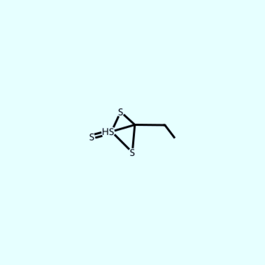 CCC12S[SH]1(=S)S2